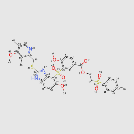 COc1ccc(C(=O)OCCS(=O)(=O)c2ccc(C)cc2)cc1S(=O)(=O)c1c(OC)ccc2[nH]c(SCc3ncc(C)c(OC)c3C)nc12